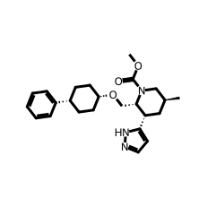 COC(=O)N1C[C@@H](C)C[C@H](c2ccn[nH]2)[C@@H]1CO[C@H]1CC[C@@H](c2ccccc2)CC1